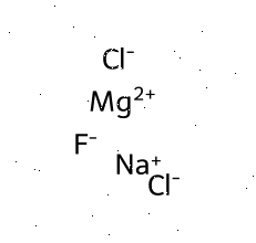 [Cl-].[Cl-].[F-].[Mg+2].[Na+]